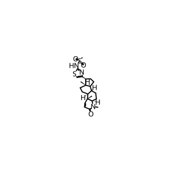 CN1C(=O)C=C[C@]2(C)[C@H]3CC[C@]4(C)[C@@H](c5csc(NS(C)(=O)=O)n5)CC[C@H]4[C@@H]3CC[C@@H]12